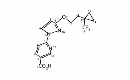 O=C(O)c1ccc(-n2ccc(OCCC3(C(F)(F)F)CC3)n2)nc1